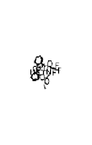 CCOC(=O)CN(C(=O)C(F)(F)F)C(Cc1ccccc1)(Cc1ccccc1)P(=O)(O)S